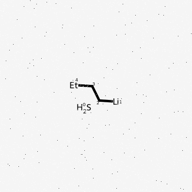 S.[Li][CH2]CCC